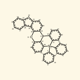 c1ccc([Si]2(c3ccccc3)c3ccccc3B3c4ccc5sc6ccccc6c5c4Oc4cccc2c43)cc1